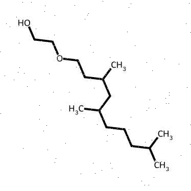 CC(C)CCCC(C)CC(C)CCOCCO